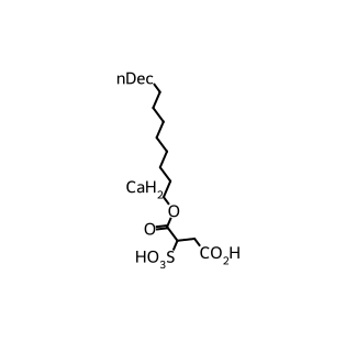 CCCCCCCCCCCCCCCCCCOC(=O)C(CC(=O)O)S(=O)(=O)O.[CaH2]